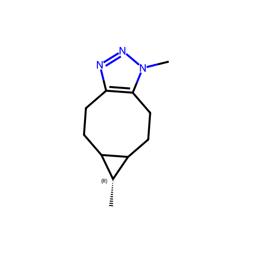 C[C@@H]1C2CCc3nnn(C)c3CCC21